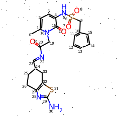 Cc1ccc(NS(=O)(=O)Cc2ccccc2)c(=O)n1CC(=O)N=CC1CCc2nc(N)sc2C1